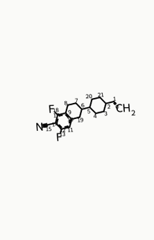 C=CC1CCC(C2CCc3c(cc(F)c(C#N)c3F)C2)CC1